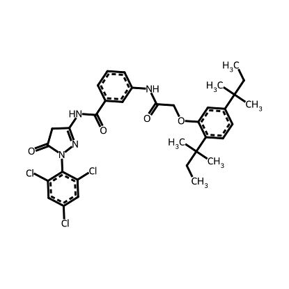 CCC(C)(C)c1ccc(C(C)(C)CC)c(OCC(=O)Nc2cccc(C(=O)NC3=NN(c4c(Cl)cc(Cl)cc4Cl)C(=O)C3)c2)c1